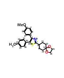 COc1ccc(-c2nc(C3CCC4(CC3)OCCO4)sc2-c2ccc(C)cc2)cc1